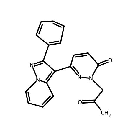 CC(=O)Cn1nc(-c2c(-c3ccccc3)nn3ccccc23)ccc1=O